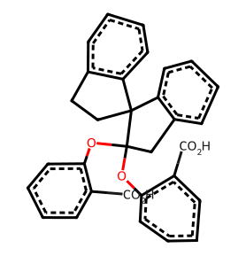 O=C(O)c1ccccc1OC1(Oc2ccccc2C(=O)O)Cc2ccccc2C12CCc1ccccc12